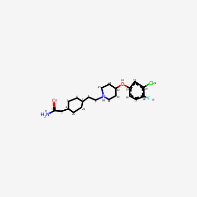 NC(=O)CC1CCC(CCN2CCC(Oc3ccc(F)c(Cl)c3)CC2)CC1